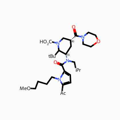 COCCCCn1c(C(C)=O)ccc1C(=O)N(CC(C)C)[C@H]1C[C@@H](C(=O)N2CCOCC2)CN(C(=O)O)C1C(C)(C)C